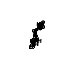 CCN(C)[S+]([O-])Nc1ccc(F)c(C(=O)c2c[nH]c3ncc(-c4ccc(N5CCN(C(=O)C6CCC(Nc7cccc8c7C(=O)N(C7CCC(=O)NC7=O)C8=O)CC6)CC5)nc4)cc23)c1F